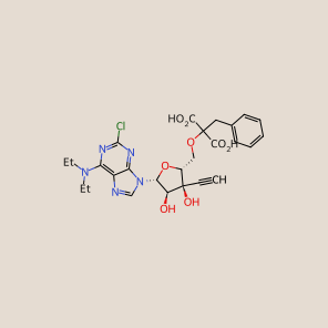 C#C[C@@]1(O)[C@@H](COC(Cc2ccccc2)(C(=O)O)C(=O)O)O[C@@H](n2cnc3c(N(CC)CC)nc(Cl)nc32)[C@@H]1O